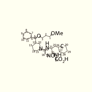 COCCCO[C@H](c1ccccc1)C1CCCN(C(=C[N+](=O)[O-])NC(CNC(=O)O)CC2CCCCC2)C1